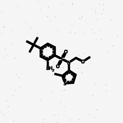 Bc1cc(C(C)(C)C)ccc1S(=O)(=O)N(COC)c1ccsc1C